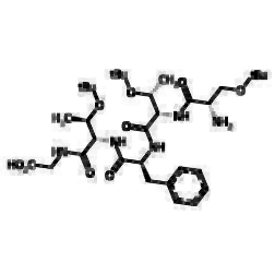 C[C@@H](OC(C)(C)C)[C@H](NC(=O)[C@H](Cc1ccccc1)NC(=O)[C@@H](NC(=O)[C@@H](N)COC(C)(C)C)[C@@H](C)OC(C)(C)C)C(=O)NCC(=O)O